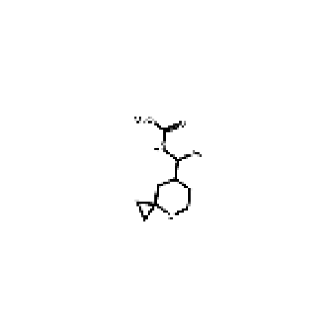 COC(=O)NC(C(C)=O)C1CCOC2(CC2)C1